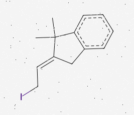 CC1(C)/C(=C/CI)Cc2ccccc21